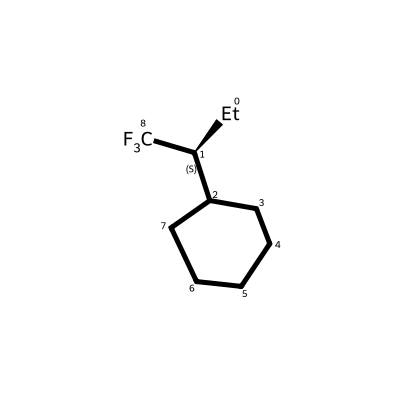 CC[C@@H](C1CCCCC1)C(F)(F)F